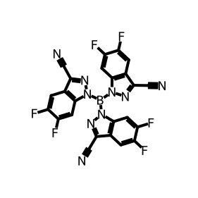 N#Cc1nn(B(n2nc(C#N)c3cc(F)c(F)cc32)n2nc(C#N)c3cc(F)c(F)cc32)c2cc(F)c(F)cc12